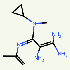 C=C(C)/N=C(\C(N)=C(N)N)N(C)C1CC1